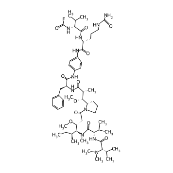 CC[C@H](C)[C@@H]([C@@H](CC(=O)N1CCC[C@H]1[C@H](OC)[C@@H](C)C(=O)N[C@@H](Cc1ccccc1)C(=O)Nc1ccc(NC(=O)[C@@H](CCCNC(N)=O)NC(=O)[C@H](NC(=O)F)C(C)C)cc1)OC)N(C)C(=O)[C@@H](NC(=O)[C@H](C(C)C)N(C)C)C(C)C